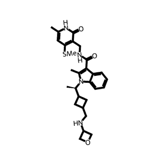 CSc1cc(C)[nH]c(=O)c1CNC(=O)c1c(C)n([C@H](C)C2CC(CNC3COC3)C2)c2ccccc12